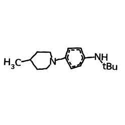 CC1CCN(c2ccc(NC(C)(C)C)cc2)CC1